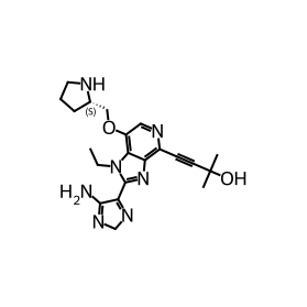 CCn1c(C2=NCN=C2N)nc2c(C#CC(C)(C)O)ncc(OC[C@@H]3CCCN3)c21